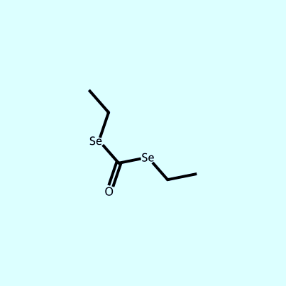 CC[Se]C(=O)[Se]CC